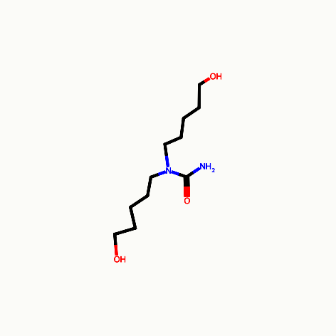 NC(=O)N(CCCCCO)CCCCCO